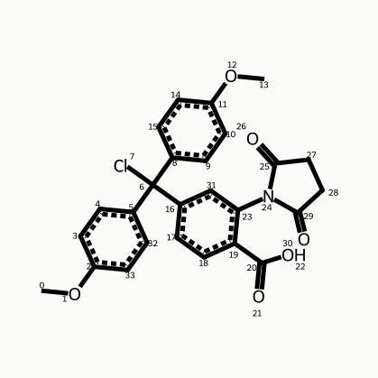 COc1ccc(C(Cl)(c2ccc(OC)cc2)c2ccc(C(=O)O)c(N3C(=O)CCC3=O)c2)cc1